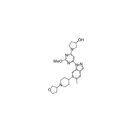 COc1nc(N2CC[C@@H](O)C2)cc(-n2ncc3cc(C)c(C4CCN(C5CCOC5)CC4)cc32)n1